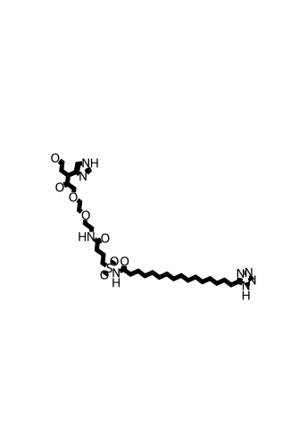 O=CCC(C(=O)COCCOCCNC(=O)CCCS(=O)(=O)NC(=O)CCCCCCCCCCCCCCCc1nnn[nH]1)c1c[nH]cn1